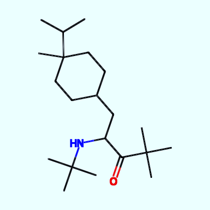 CC(C)C1(C)CCC(CC(NC(C)(C)C)C(=O)C(C)(C)C)CC1